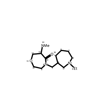 CCN1CCCCC(CN2CCOCC(NC)C2=O)C1